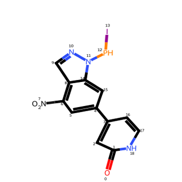 O=c1cc(-c2cc([N+](=O)[O-])c3cnn(PI)c3c2)cc[nH]1